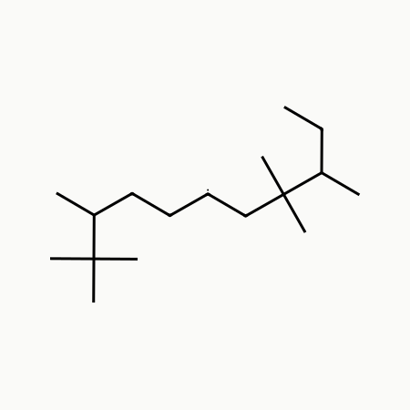 CCC(C)C(C)(C)C[CH]CCC(C)C(C)(C)C